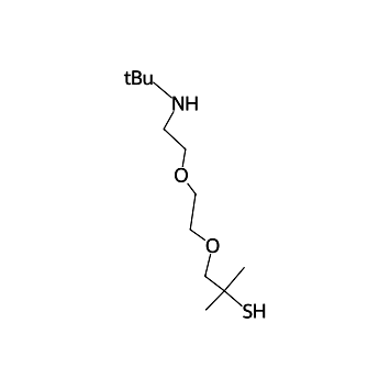 CC(C)(S)COCCOCCNC(C)(C)C